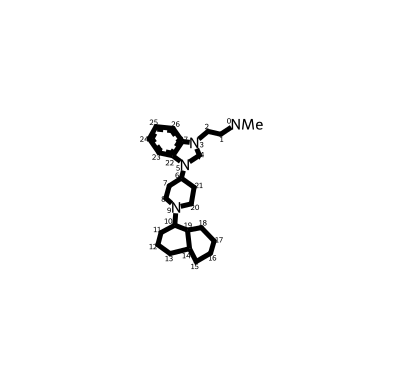 CNCCN1[CH]N(C2CCN(C3CCCC4CCCCC43)CC2)c2ccccc21